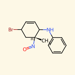 C[C@@]1(N=O)CC(Br)C=CC1Nc1ccccc1